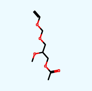 C=COCOCC(COC(C)=O)OC